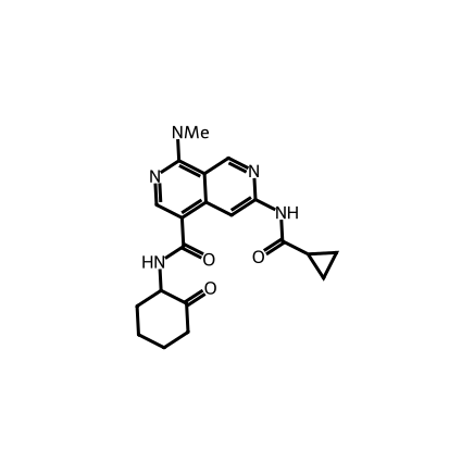 CNc1ncc(C(=O)NC2CCCCC2=O)c2cc(NC(=O)C3CC3)ncc12